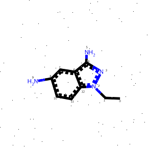 CCn1nc(N)c2cc(N)ccc21